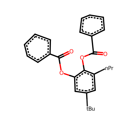 CCCc1cc(C(C)(C)C)cc(OC(=O)c2ccccc2)c1OC(=O)c1ccccc1